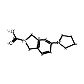 O=C(O)N1Cc2ccc(N3CCCC3)cc2C1